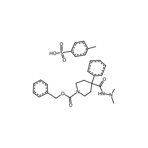 CN(C)NC(=O)C1(c2ccccc2)CCN(C(=O)OCc2ccccc2)CC1.Cc1ccc(S(=O)(=O)O)cc1